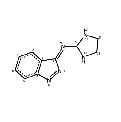 c1ccc2c(c1)N=NC2=NC1NCCN1